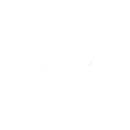 NCCCCCCCCCCCCCCCCCCCCCCCCCCCCCCC[Si](Cl)(Cl)Cl